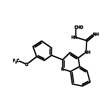 N=C(NC=O)Nc1cc(-c2cccc(OC(F)(F)F)c2)nc2ccccc12